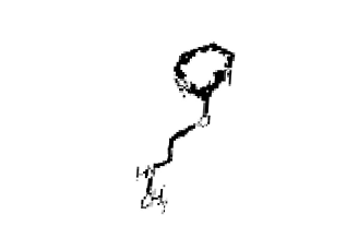 CNCCOc1ncccn1